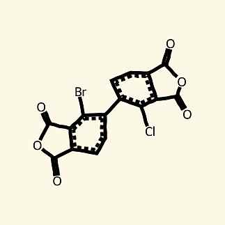 O=C1OC(=O)c2c1ccc(-c1ccc3c(c1Br)C(=O)OC3=O)c2Cl